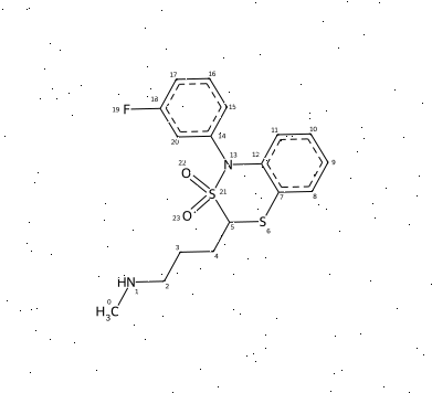 CNCCCC1Sc2ccccc2N(c2cccc(F)c2)S1(=O)=O